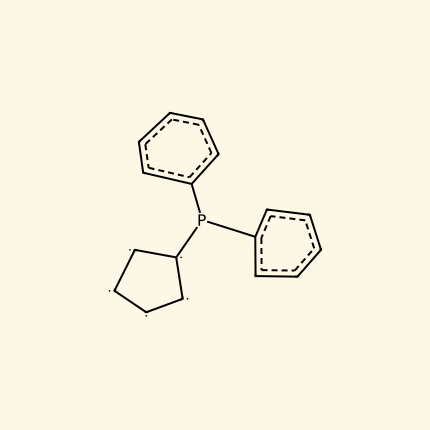 [CH]1[CH][CH][C](P(c2ccccc2)c2ccccc2)[CH]1